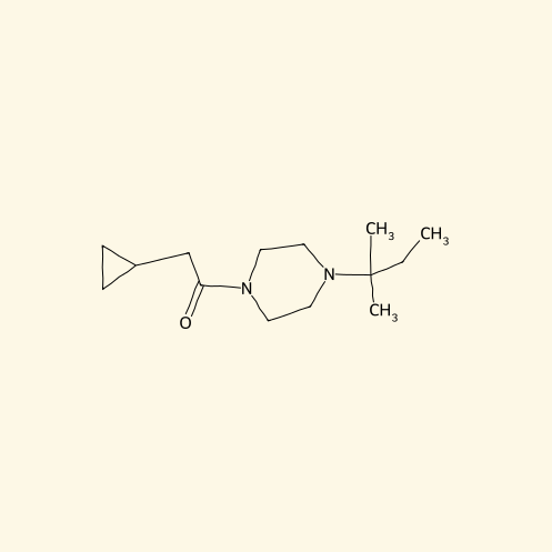 CCC(C)(C)N1CCN(C(=O)CC2CC2)CC1